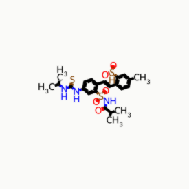 Cc1ccc(/C=C/c2ccc(NC(=S)NC(C)C)cc2S(=O)(=O)NC(=O)C(C)C)c([SH](=O)=O)c1